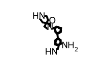 N=Cc1ccc(-c2cccc(N3CCC4(CCNCC4)C3=O)c2)cc1N